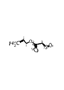 C=CCOC(=O)C=S=O